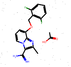 CC(=O)O.Cc1nc2c(OCc3c(F)cccc3F)cccn2c1C(=N)N